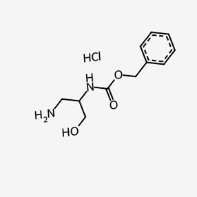 Cl.NCC(CO)NC(=O)OCc1ccccc1